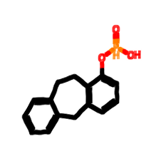 O=[PH](O)Oc1cccc2c1CCc1ccccc1C2